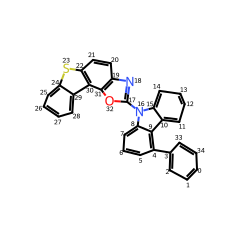 c1ccc(-c2cccc3c2c2ccccc2n3-c2nc3ccc4sc5ccccc5c4c3o2)cc1